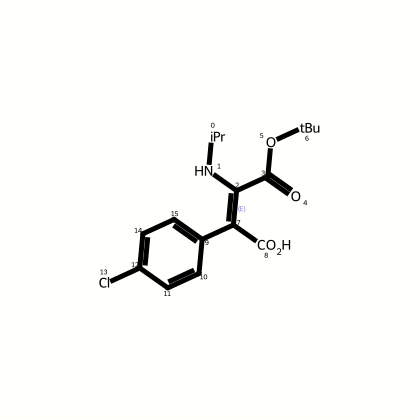 CC(C)N/C(C(=O)OC(C)(C)C)=C(/C(=O)O)c1ccc(Cl)cc1